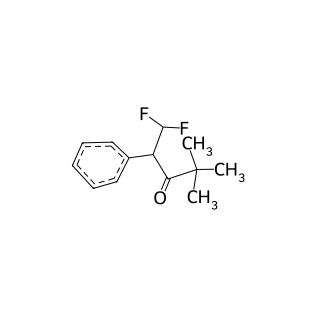 CC(C)(C)C(=O)C(c1ccccc1)C(F)F